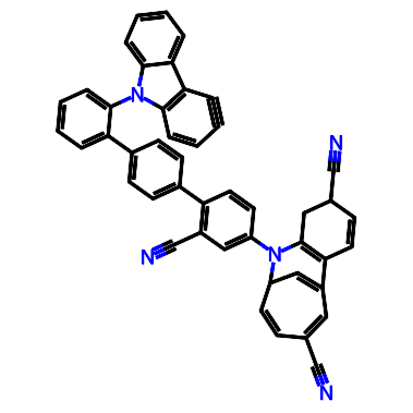 N#CC1=CC2=CC(C=C1)N(c1ccc(-c3ccc(-c4ccccc4-n4c5ccc#cc5c5ccccc54)cc3)c(C#N)c1)C1=C2C=CC(C#N)C1